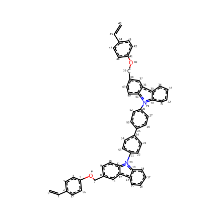 C=Cc1ccc(OCc2ccc3c(c2)c2ccccc2n3-c2ccc(-c3ccc(-n4c5ccccc5c5cc(COc6ccc(C=C)cc6)ccc54)cc3)cc2)cc1